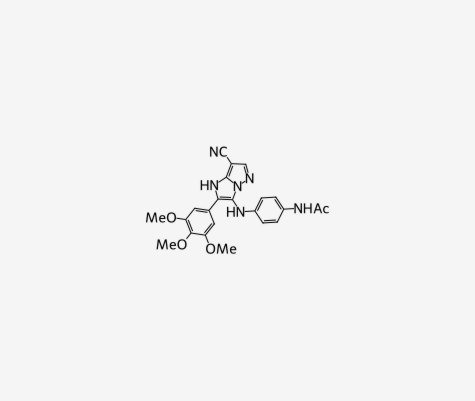 COc1cc(-c2[nH]c3c(C#N)cnn3c2Nc2ccc(NC(C)=O)cc2)cc(OC)c1OC